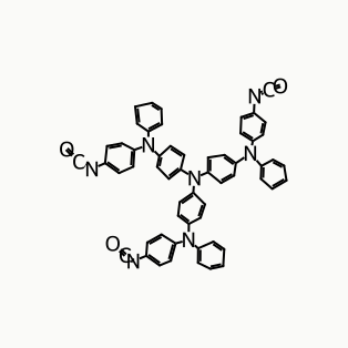 O=C=Nc1ccc(N(c2ccccc2)c2ccc(N(c3ccc(N(c4ccccc4)c4ccc(N=C=O)cc4)cc3)c3ccc(N(c4ccccc4)c4ccc(N=C=O)cc4)cc3)cc2)cc1